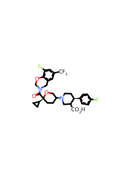 O=C(O)C1CN(C2CC[C@@](C(=O)N3COc4c(F)cc(C(F)(F)F)cc4C3)(C3CC3)OC2)CC[C@H]1c1ccc(F)cc1